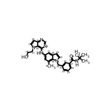 Cc1cc(Nc2ncnc3ccn(CCO)c23)cc2ccn(Cc3cccc(C(=O)NC(C)(C)C)c3)c12